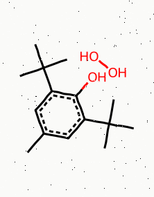 Cc1cc(C(C)(C)C)c(O)c(C(C)(C)C)c1.OO